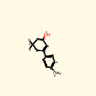 CC(=O)Oc1ccc(C2=CC(O)CC(C)(C)C2)cc1